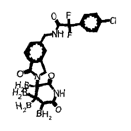 BC1C(=O)NC(=O)[C@@](B)(N2Cc3cc(CNC(=O)C(F)(F)c4ccc(Cl)cc4)ccc3C2=O)C1(B)B